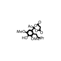 COc1cc(C2(C(C)=O)OC(=O)CC(=O)O2)c(CCC(C)C)c(OC)c1O